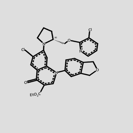 CCOC(=O)c1cn(-c2ccc3c(c2)COC3)c2cc(N3CCC[C@@H]3COc3ncccc3Cl)c(Cl)cc2c1=O